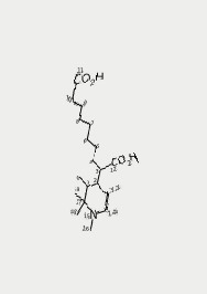 CC1C(C(CCCCCCCC(=O)O)C(=O)O)CCN(C)C1(C)C